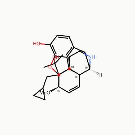 CO[C@]12C=C[C@@]3(CC1(CC1CC1)C(C)(C)O)[C@H]1Cc4ccc(O)c5c4[C@@]3(CCN1)C2O5